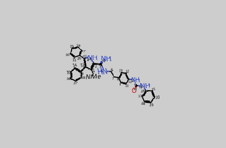 CNc1c(C(=N)NCCc2ccc(NC(=O)Nc3ccccc3)cc2)[nH]c(-c2ccccc2)c1-c1ccccc1